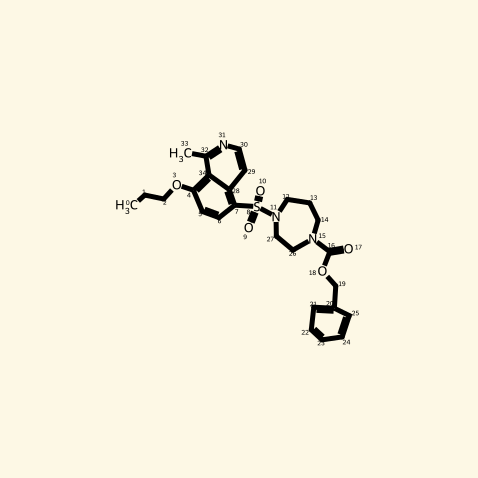 CCCOc1ccc(S(=O)(=O)N2CCCN(C(=O)OCc3ccccc3)CC2)c2ccnc(C)c12